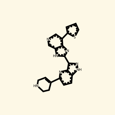 C1=C(c2ccc3[nH]nc(-c4nc5c(-c6cccs6)cncc5[nH]4)c3n2)CCNC1